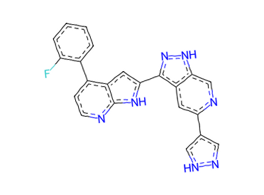 Fc1ccccc1-c1ccnc2[nH]c(-c3n[nH]c4cnc(-c5cn[nH]c5)cc34)cc12